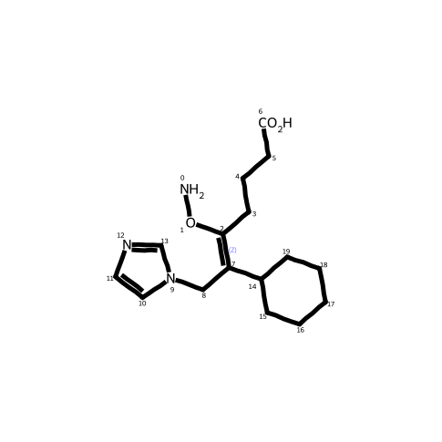 NO/C(CCCC(=O)O)=C(\Cn1ccnc1)C1CCCCC1